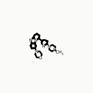 CN1CCN(c2ccc(-c3cccc4nc5ccc(N6CCOCC6)cc5n34)cn2)CC1